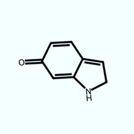 O=C1C=CC2=CCNC2=C1